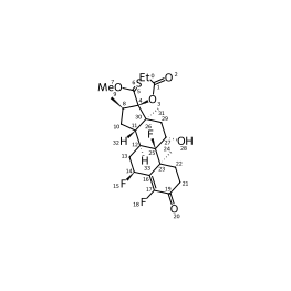 CCC(=O)O[C@]1(C(=S)OC)[C@H](C)C[C@H]2[C@@H]3C[C@H](F)C4=C(F)C(=O)CC[C@]4(C)[C@@]3(F)[C@@H](O)C[C@@]21C